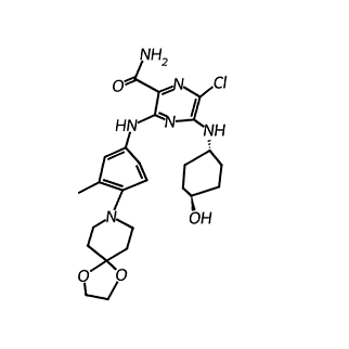 Cc1cc(Nc2nc(N[C@H]3CC[C@H](O)CC3)c(Cl)nc2C(N)=O)ccc1N1CCC2(CC1)OCCO2